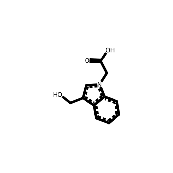 O=C(O)Cn1cc(CO)c2c[c]ccc21